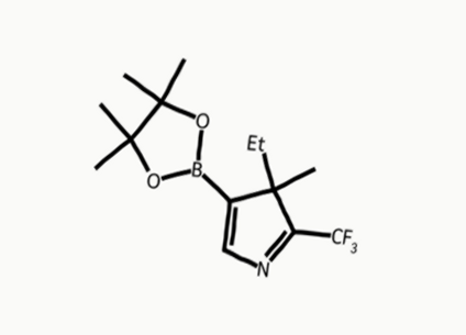 CCC1(C)C(B2OC(C)(C)C(C)(C)O2)=CN=C1C(F)(F)F